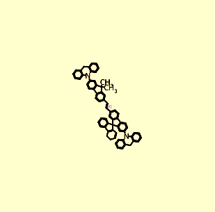 CC1(C)c2cc(/C=C/c3ccc4c(c3)C3(C5=C(CCC=C5)c5ccccc53)c3cc(N5c6ccccc6Cc6ccccc65)ccc3-4)ccc2-c2ccc(N3c4ccccc4Cc4ccccc43)cc21